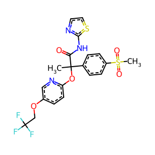 CC(Oc1ccc(OCC(F)(F)F)cn1)(C(=O)Nc1nccs1)c1ccc(S(C)(=O)=O)cc1